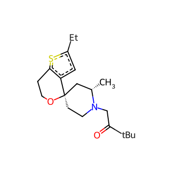 CCc1cc2c(s1)CCO[C@@]21CCN(CC(=O)C(C)(C)C)[C@@H](C)C1